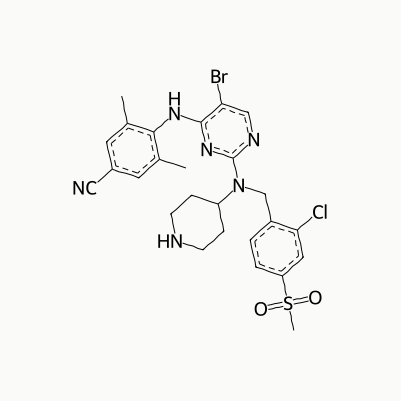 Cc1cc(C#N)cc(C)c1Nc1nc(N(Cc2ccc(S(C)(=O)=O)cc2Cl)C2CCNCC2)ncc1Br